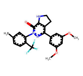 Bc1ccc(C(F)(F)F)c(-n2nc(-c3cc(OC)cc(OC)c3)c3c(c2=O)NCC3)c1